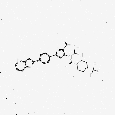 CC(C)N(c1cc(-c2ccc(-c3cc4ncccc4o3)cc2)sc1C(=O)O)C(=O)[C@H]1CC[C@H](C(F)(F)F)CC1